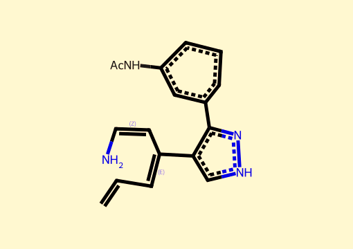 C=C/C=C(\C=C/N)c1c[nH]nc1-c1cccc(NC(C)=O)c1